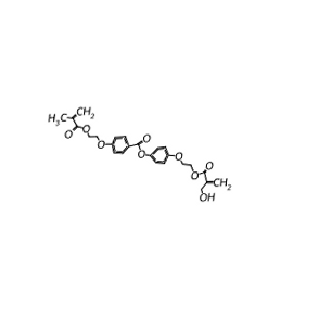 C=C(C)C(=O)OCCOc1ccc(C(=O)Oc2ccc(OCCOC(=O)C(=C)CO)cc2)cc1